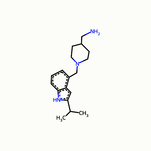 CC(C)c1cc2c(CN3CCC(CN)CC3)cccc2[nH]1